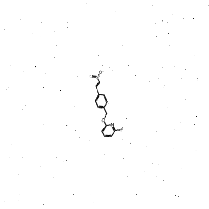 O=[N+]([O-])C=Cc1ccc(COc2cccc(F)n2)cc1